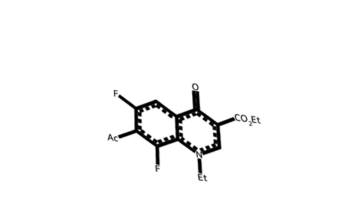 CCOC(=O)c1cn(CC)c2c(F)c(C(C)=O)c(F)cc2c1=O